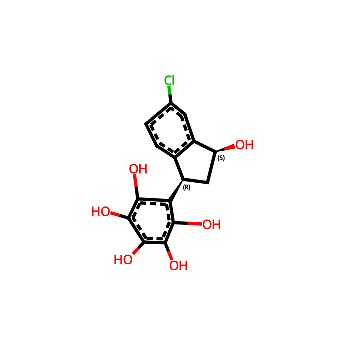 Oc1c(O)c(O)c([C@@H]2C[C@H](O)c3cc(Cl)ccc32)c(O)c1O